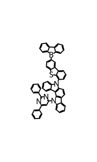 c1ccc(-c2cc(-n3c4ccccc4c4ccc5c(c6ccccc6n5-c5cccc6c5sc5ccc(B7c8ccccc8-c8ccccc87)cc56)c43)nc(-c3ccccc3)n2)cc1